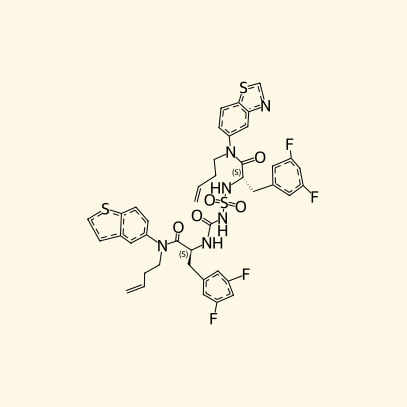 C=CCCN(C(=O)[C@H](Cc1cc(F)cc(F)c1)NC(=O)NS(=O)(=O)N[C@@H](Cc1cc(F)cc(F)c1)C(=O)N(CCC=C)c1ccc2scnc2c1)c1ccc2sccc2c1